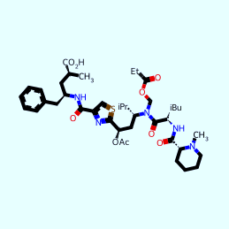 CCC(=O)OCN(C(=O)[C@@H](NC(=O)[C@H]1CCCCN1C)[C@@H](C)CC)[C@H](C[C@@H](OC(C)=O)c1nc(C(=O)N[C@@H](Cc2ccccc2)C[C@H](C)C(=O)O)cs1)C(C)C